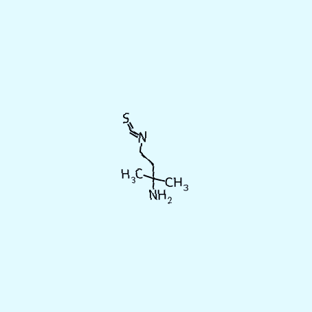 CC(C)(N)CCN=C=S